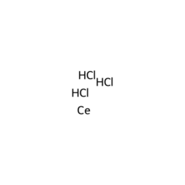 Cl.Cl.Cl.[Ce]